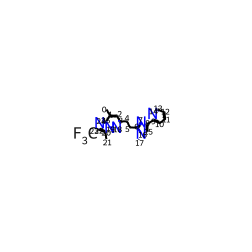 Cc1cc(CCc2nc(-c3ccccn3)cn2C)nn2c(C)c(C(F)(F)F)nc12